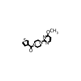 COc1ccnc(N2CCN(C(=O)c3ccsc3)CC2)n1